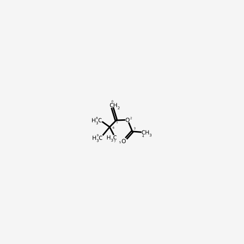 C=C(OC(C)=O)C(C)(C)C